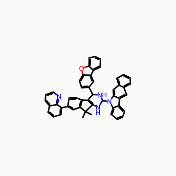 CC1(C)C2=C(c3ccc(-c4cccc5cccnc45)cc31)C(c1ccc3oc4ccccc4c3c1)NC(n1c3ccccc3c3cc4ccccc4cc31)N2